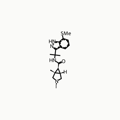 CSc1cccc2c(C(C)(C)NC(=O)[C@H]3[C@@H]4CN(I)C[C@@]43C)n[nH]c12